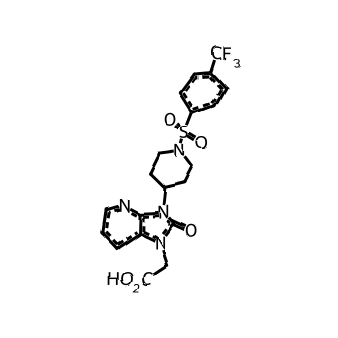 O=C(O)Cn1c(=O)n(C2CCN(S(=O)(=O)c3ccc(C(F)(F)F)cc3)CC2)c2ncccc21